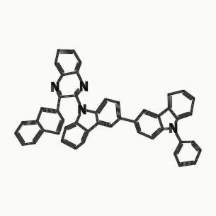 c1ccc(-n2c3ccccc3c3cc(-c4ccc5c(c4)c4ccccc4n5-c4nc5ccccc5nc4-c4ccc5ccccc5c4)ccc32)cc1